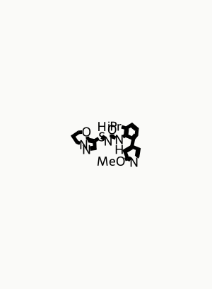 COc1cc(-c2cccc(C(C)C)c2NC(=O)N=[SH]c2cnn3c2OCCC3)ccn1